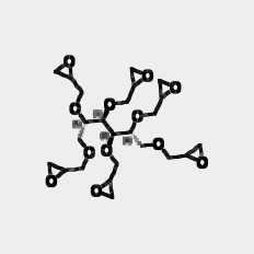 C(OC[C@H](OCC1CO1)[C@@H](OCC1CO1)[C@H](OCC1CO1)[C@@H](COCC1CO1)OCC1CO1)C1CO1